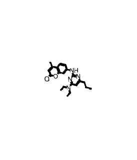 CCCc1cc(N(CC)CC)nc(Nc2ccc3c(C)cc(=O)oc3c2)n1